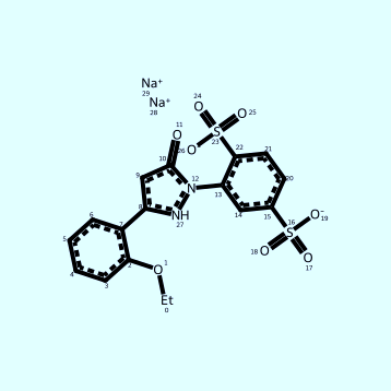 CCOc1ccccc1-c1cc(=O)n(-c2cc(S(=O)(=O)[O-])ccc2S(=O)(=O)[O-])[nH]1.[Na+].[Na+]